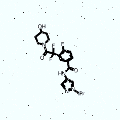 CC(C)n1cc(NC(=O)c2ccc(F)c(C(F)(F)C(=O)N3CCC(O)CC3)c2)cn1